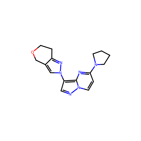 c1cn2ncc(-n3cc4c(n3)CCOC4)c2nc1N1CCCC1